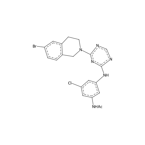 CC(=O)Nc1cc(Cl)cc(Nc2ncnc(N3CCc4cc(Br)ccc4C3)n2)c1